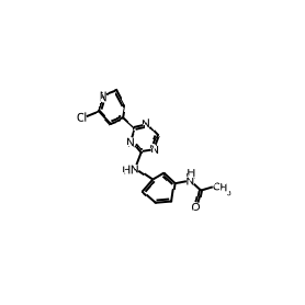 CC(=O)Nc1cccc(Nc2ncnc(-c3ccnc(Cl)c3)n2)c1